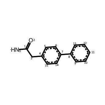 [NH]C(=O)Cc1ccc(-c2ccccc2)cc1